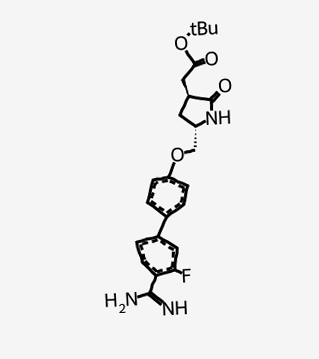 CC(C)(C)OC(=O)C[C@@H]1C[C@@H](COc2ccc(-c3ccc(C(=N)N)c(F)c3)cc2)NC1=O